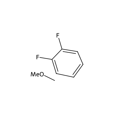 COC.Fc1ccccc1F